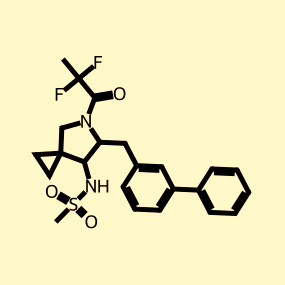 CC(F)(F)C(=O)N1CC2(CC2)C(NS(C)(=O)=O)C1Cc1cccc(-c2ccccc2)c1